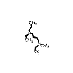 CCCN(CC)CCCN(C)CP